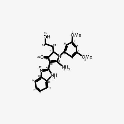 COc1cc(OC)cc(N2C(N)=C(c3nc4ccccc4[nH]3)C(=O)C2CCO)c1